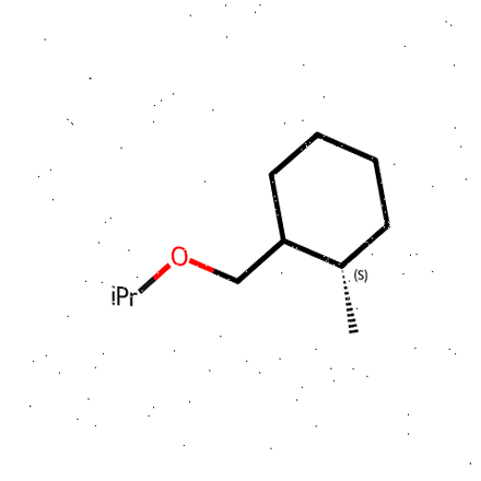 CC(C)OCC1CCCC[C@@H]1C